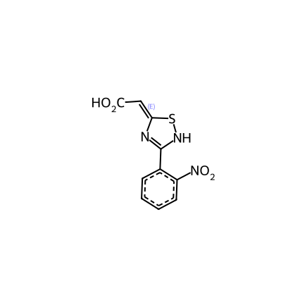 O=C(O)/C=C1\N=C(c2ccccc2[N+](=O)[O-])NS1